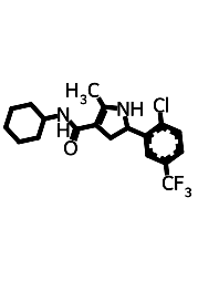 CC1=C(C(=O)NC2CCCCC2)CC(c2cc(C(F)(F)F)ccc2Cl)N1